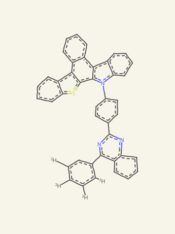 [2H]c1cc(-c2nc(-c3ccc(-n4c5ccccc5c5c6ccccc6c6c7ccccc7sc6c54)cc3)nc3ccccc23)c([2H])c([2H])c1[2H]